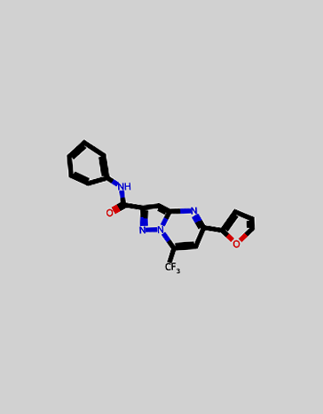 O=C(Nc1ccccc1)c1cc2nc(-c3ccco3)cc(C(F)(F)F)n2n1